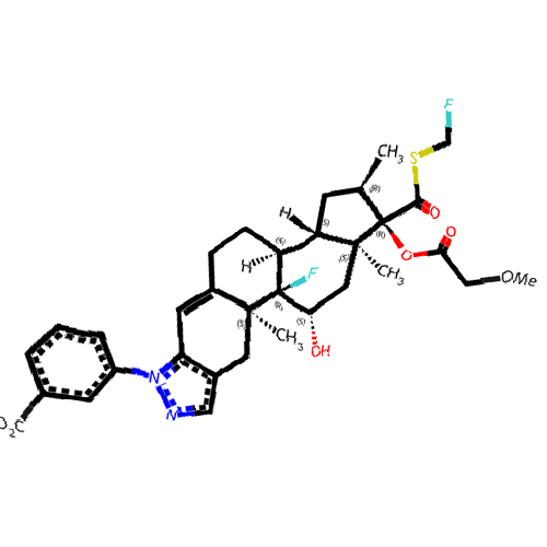 COCC(=O)O[C@]1(C(=O)SCF)[C@H](C)C[C@H]2[C@@H]3CCC4=Cc5c(cnn5-c5cccc(C(=O)O)c5)C[C@]4(C)[C@@]3(F)[C@@H](O)C[C@@]21C